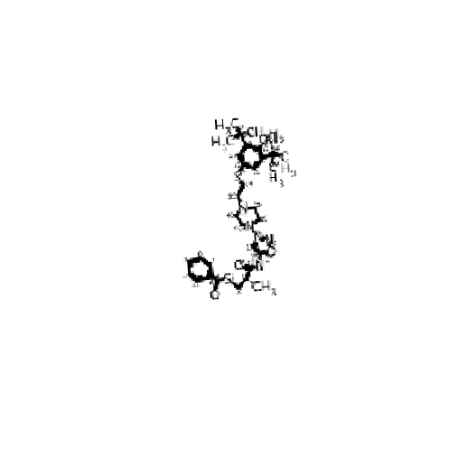 C[C@H](CSC(=O)c1ccccc1)C(=O)[N-]c1c[n+](N2CCN(CCSc3cc(C(C)(C)C)c(O)c(C(C)(C)C)c3)CC2)no1